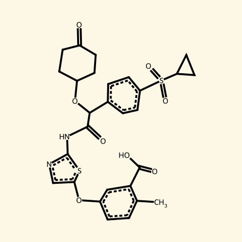 Cc1ccc(Oc2cnc(NC(=O)C(OC3CCC(=O)CC3)c3ccc(S(=O)(=O)C4CC4)cc3)s2)cc1C(=O)O